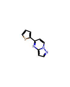 c1csc(-c2ccn3nccc3n2)c1